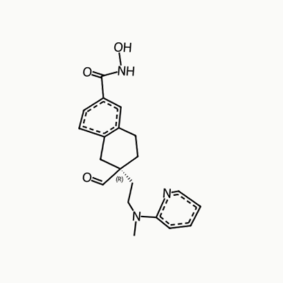 CN(CC[C@@]1(C=O)CCc2cc(C(=O)NO)ccc2C1)c1ccccn1